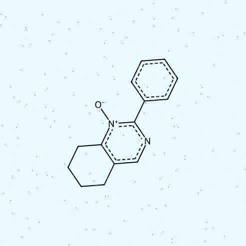 [O-][n+]1c(-c2ccccc2)ncc2c1CCCC2